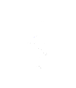 Cc1ccc(/C=C/C(=O)c2c(C)c3cc(C)ncc3[nH]c2=O)cc1